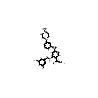 CC(=O)N1CCN(c2cccc(Nc3cc(NCc4cc(F)cc(F)c4)c(C(N)=O)cn3)c2)CC1